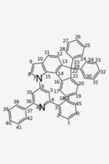 c1ccc(-c2cc(-n3ccc4ccc5c(c43)-c3ccccc3C5(c3ccccc3)c3ccccc3)cc(-c3ccccc3)n2)cc1